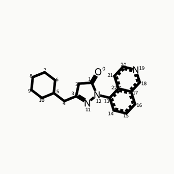 O=C1CC(CC2CCCCC2)=NN1c1cccc2cnccc12